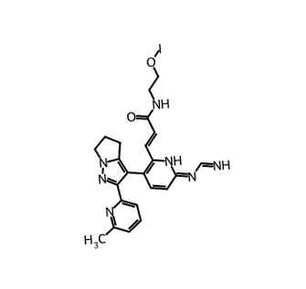 Cc1cccc(-c2nn3c(c2-c2cc/c(=N/C=N)[nH]c2/C=C/C(=O)NCCOI)CCC3)n1